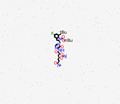 CCCCOC(=O)n1c(Cn2ccnc(NC(=O)C(CC/C=C/C(=O)N(C)C)OC(=O)N(C)C)c2=O)cc2cc(F)cc(CC(C)(C)C)c21